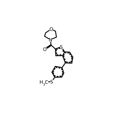 CSc1ccc(-c2cccc3sc(C(=O)N4CCOCC4)cc23)cc1